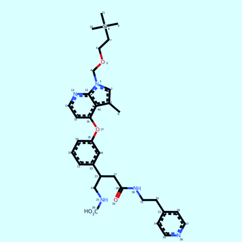 Cc1cn(COCC[Si](C)(C)C)c2nccc(Oc3cccc(C(CNC(=O)O)CC(=O)NCCc4ccncc4)c3)c12